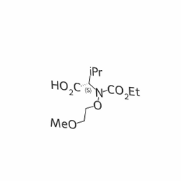 CCOC(=O)N(OCCOC)[C@H](C(=O)O)C(C)C